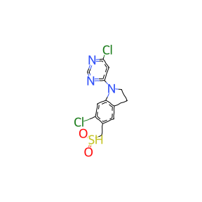 O=[SH](=O)Cc1cc2c(cc1Cl)N(c1cc(Cl)ncn1)CC2